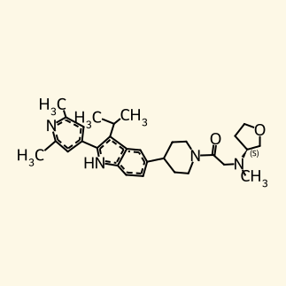 Cc1cc(-c2[nH]c3ccc(C4CCN(C(=O)CN(C)[C@H]5CCOC5)CC4)cc3c2C(C)C)cc(C)n1